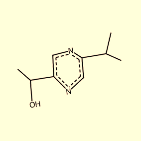 CC(C)c1cnc(C(C)O)cn1